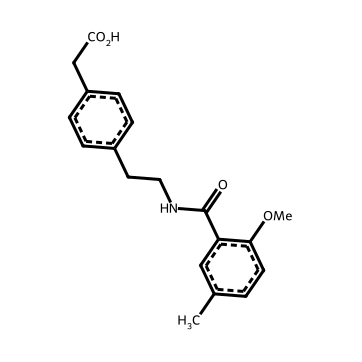 COc1ccc(C)cc1C(=O)NCCc1ccc(CC(=O)O)cc1